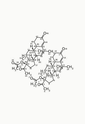 CC(=O)O[C@]1(C(C)=O)CC[C@H]2[C@@H]3C=C(C)C4=CC(=O)CC[C@]4(C)[C@H]3CC[C@@]21C.CC(=O)O[C@]1(C(C)=O)CC[C@H]2[C@@H]3C=C(C)C4=CC(=O)CC[C@]4(C)[C@H]3CC[C@@]21C